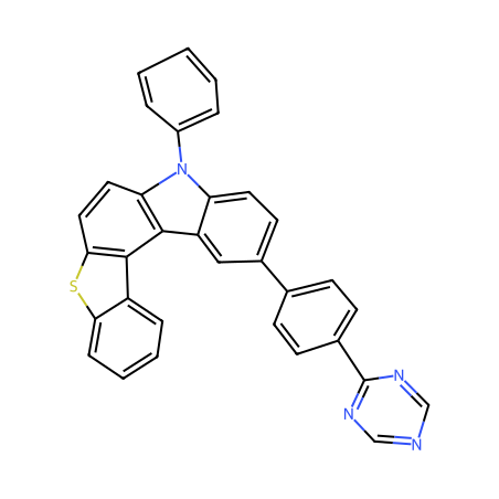 c1ccc(-n2c3ccc(-c4ccc(-c5ncncn5)cc4)cc3c3c4c(ccc32)sc2ccccc24)cc1